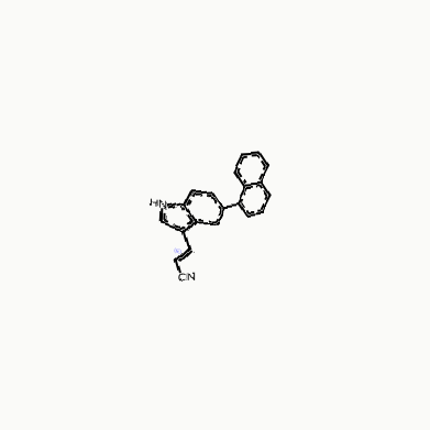 N#C/C=C/c1c[nH]c2ccc(-c3cccc4ccccc34)cc12